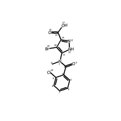 CN(C(=O)c1ccccc1Cl)c1[nH]nc(C(=O)O)c1Br